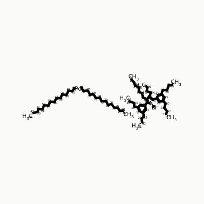 CCCCCCCCC1=C(c2cc(CCCC)cc(CCCC)c2)[N+](=[N-])C(c2cc(CCCCC)cc(CCCCC)c2)=C1CCCC.CCCCCCCCCCCCCCC[CH2][Pd][CH2]CCCCCCCCCCCCCCC